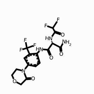 NC(=O)[C@@H](NC(=O)C(F)F)C(=O)Nc1ccc(N2CCOCC2=O)cc1C(F)(F)F